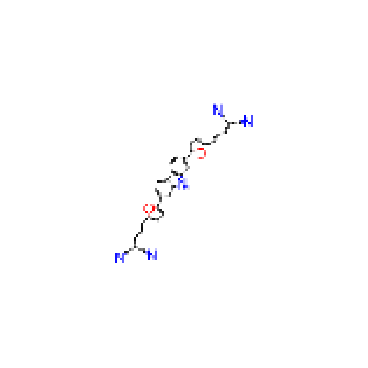 CCn1c2cc(-c3ccc(/C=C/C=C(C#N)C#N)o3)ccc2c2ccc(-c3ccc(/C=C/C=C(C#N)C#N)o3)cc21